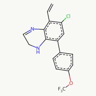 C=Cc1c(Cl)cc(-c2ccc(OC(F)(F)F)cc2)c2c1N=CCN2